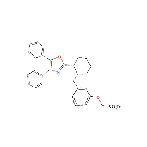 CCOC(=O)COc1cccc(C[C@H]2CCCC[C@H]2c2nc(-c3ccccc3)c(-c3ccccc3)o2)c1